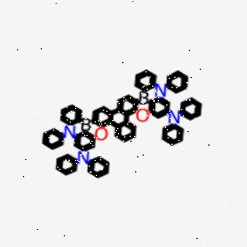 c1ccc(N(c2ccccc2)c2cc3c4c(c2)N(c2ccccc2)c2ccccc2B4c2ccc4c5ccc6c(c5c5ccccc5c4c2O3)Oc2cc(N(c3ccccc3)c3ccccc3)cc3c2B6c2ccccc2N3c2ccccc2)cc1